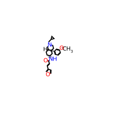 COc1cccc([C@@]23CCN(CC4CC4)C[C@H]2CC[C@H](NC(=O)C=Cc2ccoc2)C3)c1